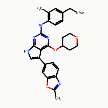 CNCc1ccc(Nc2nc(OC3CCOCC3)c3c(-c4ccc5nc(C)oc5c4)c[nH]c3n2)c(C(F)(F)F)c1